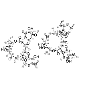 CC[C@H]1OC(=O)[C@H](C)[C@@H](O[C@H]2C[C@@](C)(OC)[C@@H](O)[C@H](C)O2)[C@H](C)[C@@H](O[C@@H]2O[C@H](C)C[C@H](N(C)C)[C@H]2O)[C@](C)(O)C[C@@H](C)C(=O)[C@H](C)[C@@H](O)[C@]1(C)O.CC[C@H]1OC(=O)[C@H](C)[C@@H](O[C@H]2C[C@@](C)(OC)[C@@H](O)[C@H](C)O2)[C@H](C)[C@@H](O[C@@H]2O[C@H](C)C[C@H](N(C)C)[C@H]2O)[C@](C)(O)C[C@@H](C)CN(C)[C@H](C)[C@@H](O)[C@]1(C)O